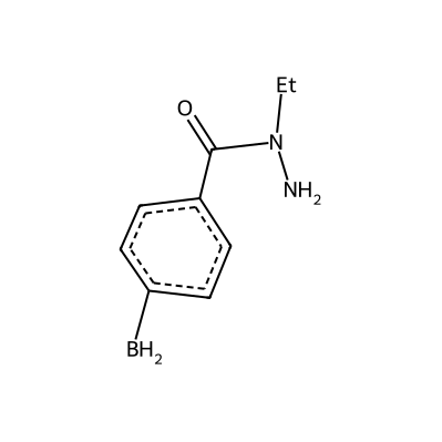 Bc1ccc(C(=O)N(N)CC)cc1